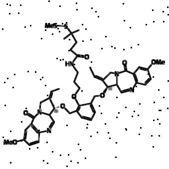 CC=C1CN2C(=O)c3cc(OC)ccc3N=CC2[C@H]1OCc1cccc(CO[C@H]2C(=CC)CN3C(=O)c4cc(OC)ccc4N=CC23)c1OCCCNC(=O)CCC(C)(C)SSC